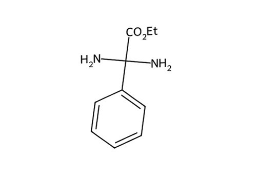 CCOC(=O)C(N)(N)c1ccccc1